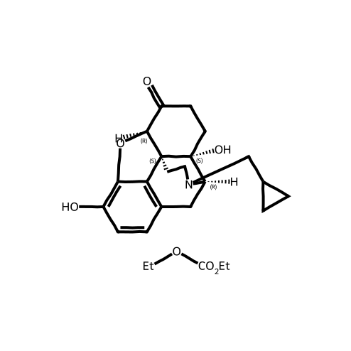 CCOC(=O)OCC.O=C1CC[C@@]2(O)[C@H]3Cc4ccc(O)c5c4[C@@]2(CCN3CC2CC2)[C@H]1O5